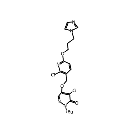 CC(C)(C)n1ncc(OCc2ccc(OCCCn3ccnc3)nc2Cl)c(Cl)c1=O